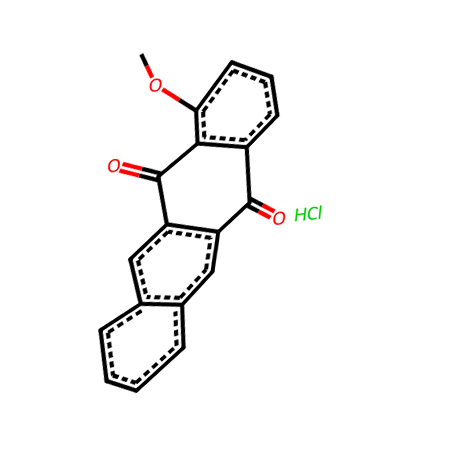 COc1cccc2c1C(=O)c1cc3ccccc3cc1C2=O.Cl